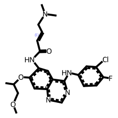 COCC(C)Oc1cc2ncnc(Nc3ccc(F)c(Cl)c3)c2cc1NC(=O)/C=C/CN(C)C